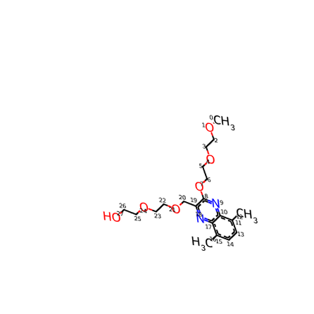 COCCOCCOc1nc2c(C)ccc(C)c2nc1COCCOCCO